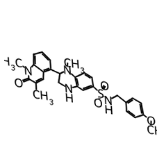 COc1ccc(CNS(=O)(=O)c2ccc3c(c2)NCC(c2cccc4c2cc(C)c(=O)n4C)N3C)cc1